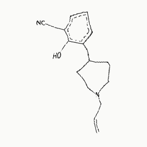 C=CCN1CCC(c2cccc(C#N)c2O)CC1